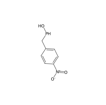 O=[N+]([O-])c1ccc(CPO)cc1